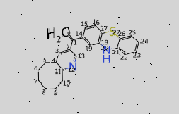 C=C(C1=CC2CCCCCCC2N=C1)c1ccc2c(c1)Nc1ccccc1S2